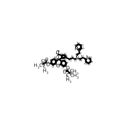 CC(C)(C)C(=O)Oc1ccc2c(c1)Oc1cc(OC(=O)C(C)(C)C)ccc1C21OC(=O)c2ccc(CCCN(CCc3ccccn3)CCc3ccccn3)cc21